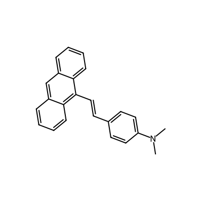 CN(C)c1ccc(C=Cc2c3ccccc3cc3ccccc23)cc1